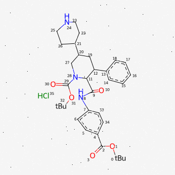 CC(C)(C)OC(=O)c1ccc(NC(=O)C2C(c3ccccc3)CC(C3CCNCC3)CN2C(=O)OC(C)(C)C)cc1.Cl